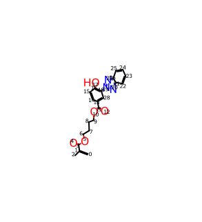 C=C(C)C(=O)OCCCCOC(=O)c1ccc(O)c(-n2nc3ccccc3n2)c1